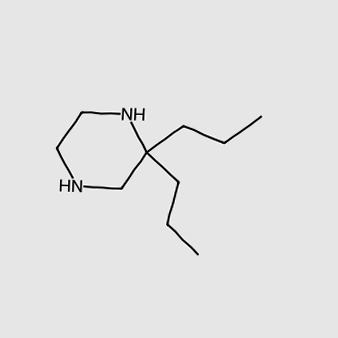 CCCC1(CCC)CNCCN1